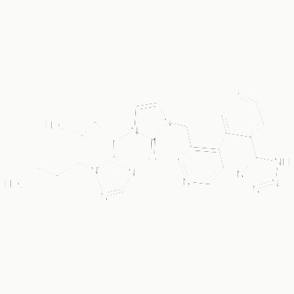 CCCCn1ncnc1C(CCC)n1ccn(Cc2cnccc2-c2ccccc2-c2nnn[nH]2)c1=O